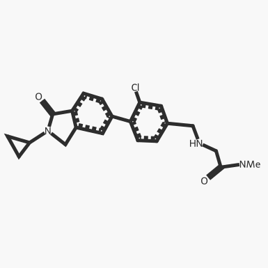 CNC(=O)CNCc1ccc(-c2ccc3c(c2)CN(C2CC2)C3=O)c(Cl)c1